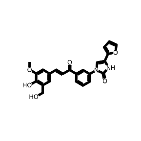 COc1cc(/C=C/C(=O)c2cccc(-n3cc(-c4ccco4)[nH]c3=O)c2)cc(CO)c1O